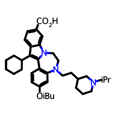 CC(C)COc1ccc2c(c1)N(CCC1CCCN(C(C)C)C1)CCn1c-2c(C2CCCCC2)c2ccc(C(=O)O)cc21